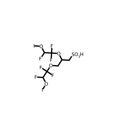 O=S(=O)(O)CC(COC(F)(F)C(F)OI)OC(F)(F)C(F)OI